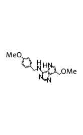 COCc1c[nH]c2c(NCc3ccc(OC)cc3)ncnc12